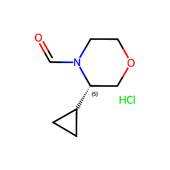 Cl.O=CN1CCOC[C@@H]1C1CC1